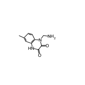 Cc1ccc2c(c1)[nH]c(=O)c(=O)n2CN